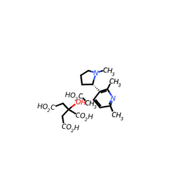 CC(=O)O.Cc1ccc([C@@H]2CCCN2C)c(C)n1.O=C(O)CC(O)(CC(=O)O)C(=O)O